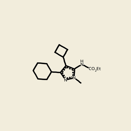 CCOC(=O)Nc1c(C2CCC2)c(C2CCCCC2)nn1C